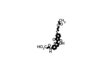 C=CC(=O)OCCCSc1ccc2c(c1)C(=O)C(c1nc3cc(NC(=O)CC(=O)O)ccc3cc1O)C2=O